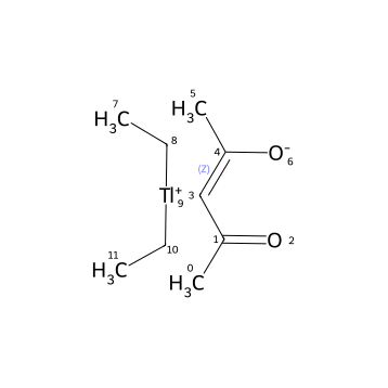 CC(=O)/C=C(/C)[O-].C[CH2][Tl+][CH2]C